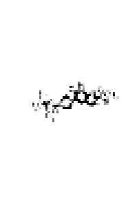 CC(C)(C)OC(=O)N1CCN(c2cc3cnc(S(C)(=O)=O)nc3[nH]c2=O)CC1